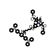 CC1=N/C(=C(/c2c(C)cc(OC(=O)CCCCn3nc4c(-c5ccc(N(c6ccccc6)c6ccccc6)cc5)ccc(-c5ccc(N(c6ccccc6)c6ccccc6)cc5)c4n3)cc2C)c2c(C)c(C(=O)OCc3ccccc3)c(C)n2B(F)F)C(C)=C1C(=O)OCc1ccccc1